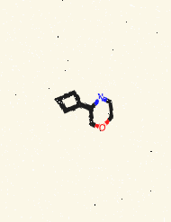 C1CC(C2COCC[N]2)C1